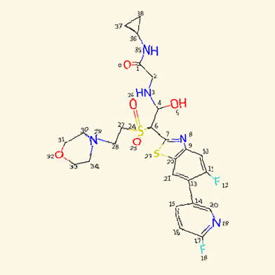 O=C(CNC(O)C(c1nc2cc(F)c(-c3ccc(F)nc3)cc2s1)S(=O)(=O)CCN1CCOCC1)NC1CC1